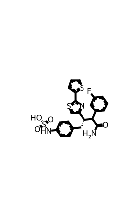 NC(=O)C(c1cccc(F)c1)[C@H](Cc1ccc(NS(=O)(=O)O)cc1)c1csc(-c2cccs2)n1